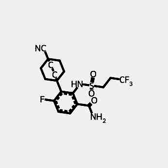 N#CC12CCC(c3c(F)ccc(C(N)=O)c3NS(=O)(=O)CCC(F)(F)F)(CC1)CC2